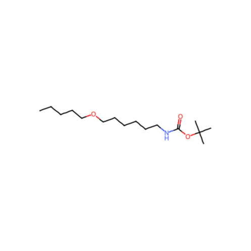 CCCCCOCCCCCCNC(=O)OC(C)(C)C